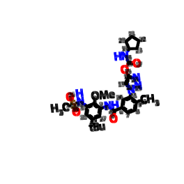 COc1c(NC(=O)c2ccc(C)c(-n3cc(OC(=O)NC4CCCC4)nn3)c2)cc(C(C)(C)C)cc1NS(C)(=O)=O